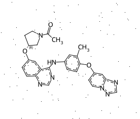 CC(=O)N1CC[C@@H](Oc2ccc3ncnc(Nc4ccc(Oc5ccn6ncnc6c5)c(C)c4)c3c2)C1